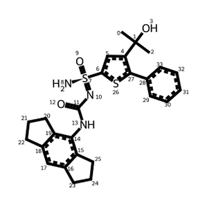 CC(C)(O)c1cc([S@@](N)(=O)=NC(=O)Nc2c3c(cc4c2CCC4)CCC3)sc1-c1ccccc1